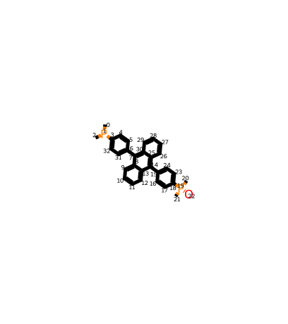 CP(C)c1ccc(-c2c3ccccc3c(-c3ccc(P(C)(C)=O)cc3)c3ccccc23)cc1